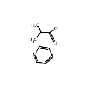 CC(C)C(=O)Cl.c1ccncc1